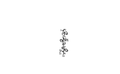 C=C(C)C(=O)OCCNC(=O)OCCOC(=O)C(CC)CC